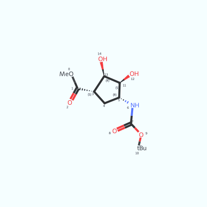 COC(=O)[C@H]1C[C@@H](NC(=O)OC(C)(C)C)[C@H](O)[C@@H]1O